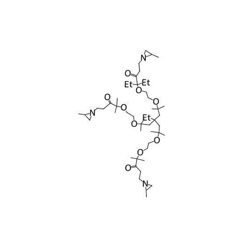 CCC(CC(C)(C)OCCOC(C)(C)C(=O)CCN1CC1C)(CC(C)(C)OCCOC(C)(C)C(=O)CCN1CC1C)CC(C)(C)OCCOC(CC)(CC)C(=O)CCN1CC1C